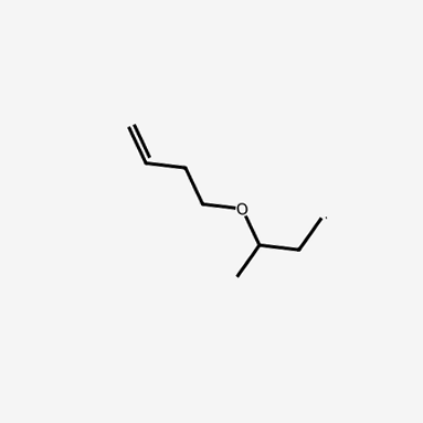 [CH2]CC(C)OCCC=C